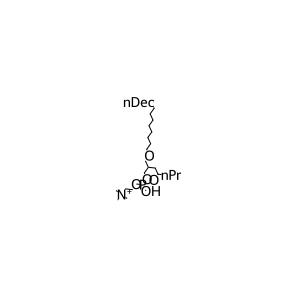 CCCCCCCCCCCCCCCCCCOCC(COP(O)OCC[N+](C)(C)C)CC(=O)CCC